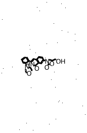 O=C1OC(CO)CN1c1ccc2cc(-c3ccccc3N3CCOCC3)[nH]c(=O)c2c1